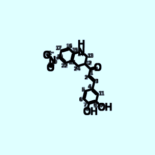 O=C(C=Cc1ccc(O)c(O)c1)C1CNc2ccc([N+](=O)[O-])cc2C1